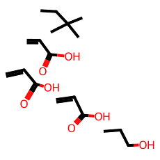 C=CC(=O)O.C=CC(=O)O.C=CC(=O)O.CCC(C)(C)C.CCCO